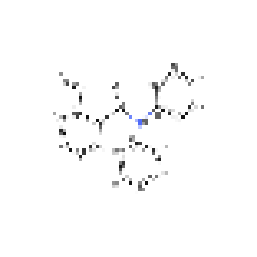 C=Cc1ccccc1C(C)N(c1ccccc1)c1ccccc1